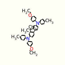 C=COc1ccc(N(c2ccc(C)cc2)c2ccc3c(c2)C(C)(C)c2cc(N(c4ccc(C)cc4)c4ccc(OC=C)cc4)ccc2-3)cc1